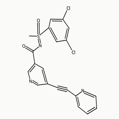 CS(=O)(=NC(=O)c1cncc(C#Cc2ccccn2)c1)c1cc(Cl)cc(Cl)c1